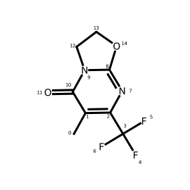 Cc1c(C(F)(F)F)nc2n(c1=O)CCO2